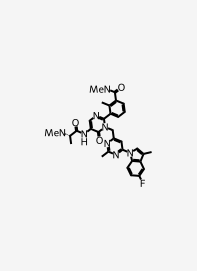 CNC(=O)c1cccc(-c2ncc(NC(=O)[C@H](C)NC)c(=O)n2Cc2cc(-n3cc(C)c4cc(F)ccc43)nc(C)n2)c1C